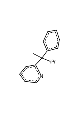 CC(C)C(C)(c1ccccc1)c1ccccn1